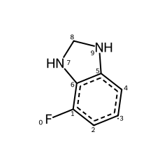 Fc1c[c]cc2c1NCN2